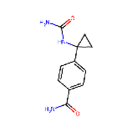 NC(=O)NC1(c2ccc(C(N)=O)cc2)CC1